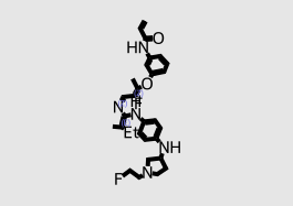 C=CC(=O)Nc1cccc(O/C(C)=C(F)/C=N\C(Nc2ccc(NC3CCN(CCF)C3)cc2)=C(/C)CC)c1